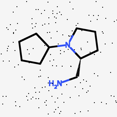 NC[C@H]1CCCN1C1CCCC1